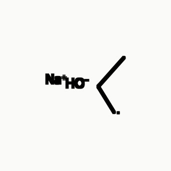 [CH2]CC.[Na+].[OH-]